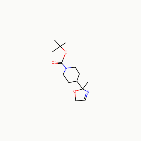 CC(C)(C)OC(=O)N1CCC(C2(C)N=CCO2)CC1